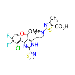 COC(=O)C1=C(C2CCN(c3nc(C(F)(F)F)c(C(=O)O)s3)CC2)NC(c2nccs2)=NC1c1ccc(F)c(F)c1Cl